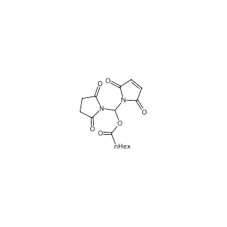 CCCCCCC(=O)OC(N1C(=O)C=CC1=O)N1C(=O)CCC1=O